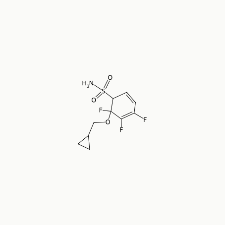 NS(=O)(=O)C1C=CC(F)=C(F)C1(F)OCC1CC1